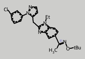 CCn1c(Cc2ccnn2-c2cccc(Cl)c2)nc2cc(/C(C)=N/OC(C)(C)C)ccc21